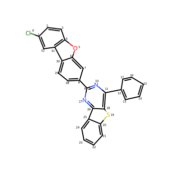 Clc1ccc2oc3cc(-c4nc(-c5ccccc5)c5sc6ccccc6c5n4)ccc3c2c1